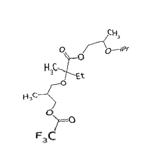 CCC(C)(OCC(C)COC(=O)C(F)(F)F)C(=O)OCC(C)OC(C)C